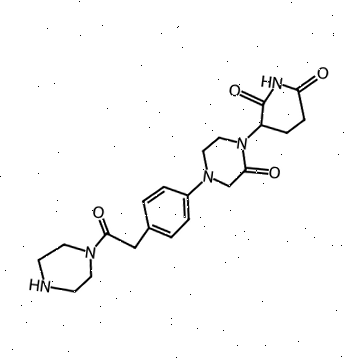 O=C1CCC(N2CCN(c3ccc(CC(=O)N4CCNCC4)cc3)CC2=O)C(=O)N1